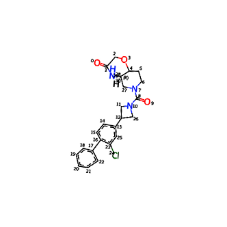 O=C1COC2CCN(C(=O)N3CC(c4ccc(-c5ccccc5)c(Cl)c4)C3)C[C@H]2N1